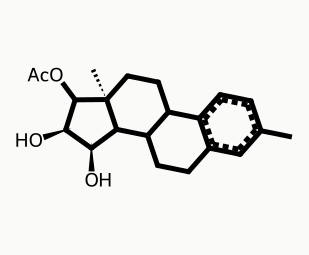 CC(=O)OC1[C@H](O)[C@H](O)C2C3CCc4cc(C)ccc4C3CC[C@@]21C